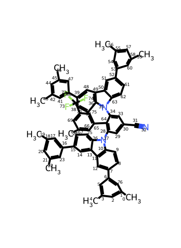 Cc1cc(C)cc(-c2ccc3c(c2)c2cc(-c4cc(C)cc(C)c4)ccc2n3-c2cc(C#N)cc(-n3c4ccc(-c5cc(C)cc(C)c5)cc4c4cc(-c5cc(C)cc(C)c5)ccc43)c2-c2cc(C)cc(C(F)(F)F)c2)c1